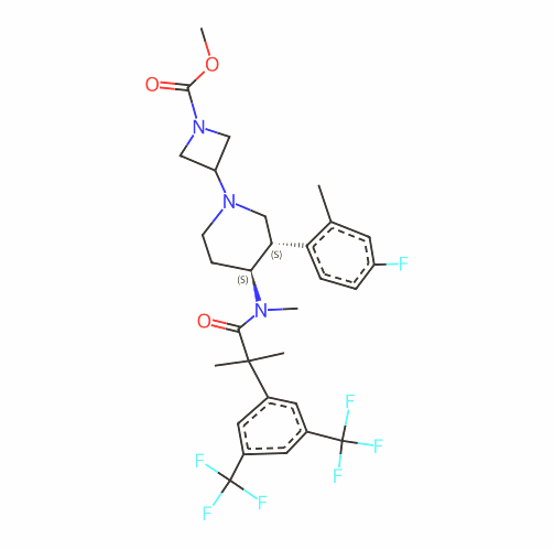 COC(=O)N1CC(N2CC[C@H](N(C)C(=O)C(C)(C)c3cc(C(F)(F)F)cc(C(F)(F)F)c3)[C@@H](c3ccc(F)cc3C)C2)C1